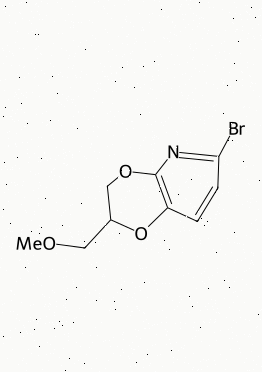 COCC1COc2nc(Br)ccc2O1